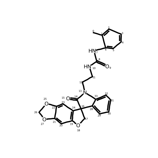 Cc1ccccc1NC(=O)NCCN1C(=O)C2(COc3cc4c(cc32)OCO4)c2ccccc21